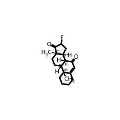 C[C@]12CCCCC1=CC(=O)[C@@H]1[C@H]2CC[C@]2(C)C(=O)C(F)C[C@@H]12